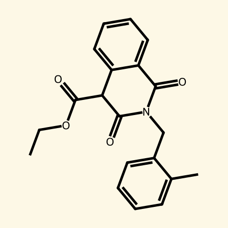 CCOC(=O)C1C(=O)N(Cc2ccccc2C)C(=O)c2ccccc21